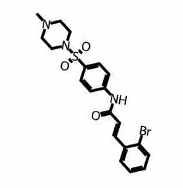 CN1CCN(S(=O)(=O)c2ccc(NC(=O)/C=C/c3ccccc3Br)cc2)CC1